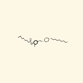 CCCCCCCCC[C@H]1CC[C@H](CCc2ccc(OC(=O)CCCCCCC)c(C)c2)CC1